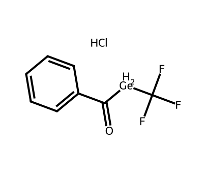 Cl.O=[C]([GeH2][C](F)(F)F)c1ccccc1